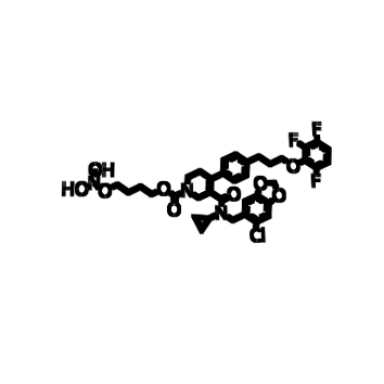 O=C(OCCCCON(O)O)N1CCC(c2ccc(CCCOc3c(F)ccc(F)c3F)cc2)=C(C(=O)N(Cc2cc3c(cc2Cl)OCO3)C2CC2)C1